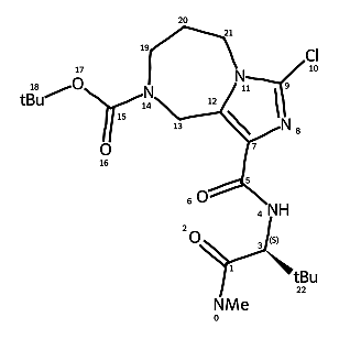 CNC(=O)[C@@H](NC(=O)c1nc(Cl)n2c1CN(C(=O)OC(C)(C)C)CCC2)C(C)(C)C